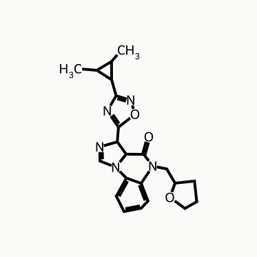 CC1C(C)C1c1noc(C2N=CN3c4ccccc4N(CC4CCCO4)C(=O)C23)n1